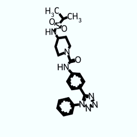 CC(C)S(=O)(=O)NC1CCN(C(=O)Nc2ccc(-c3nnnn3-c3ccccc3)cc2)CC1